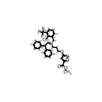 COC(=O)c1cc(OCCCN(Cc2cccc(C(F)(F)F)c2Cl)CC(c2ccccc2)c2ccccc2)no1